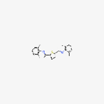 CC(=Nc1c(C)cccc1C)c1ccc(C(C)=Nc2c(C)cccc2C)s1